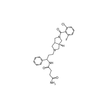 NC(=O)CCC(=O)NC(CCN1CC2CN(C(=O)c3c(F)cccc3Cl)C[C@@H]2C1)c1ccccc1